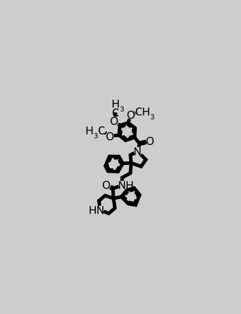 COc1cc(C(=O)N2CCC(CCNC(=O)C3(c4ccccc4)CCNCC3)(c3ccccc3)C2)cc(OC)c1OC